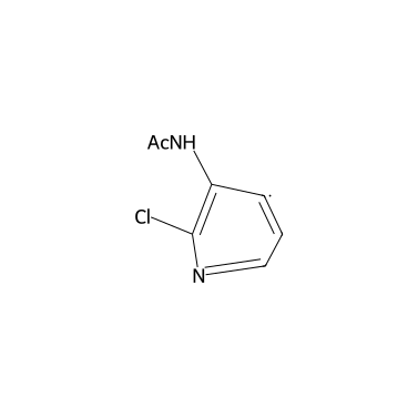 CC(=O)Nc1[c]ccnc1Cl